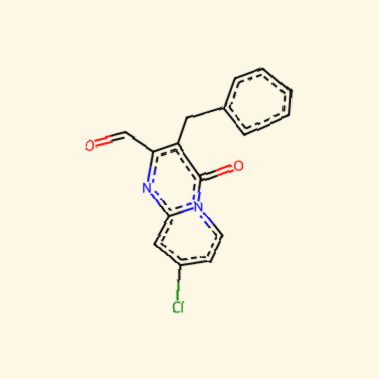 O=Cc1nc2cc(Cl)ccn2c(=O)c1Cc1ccccc1